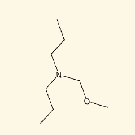 CCCN(CCC)COC